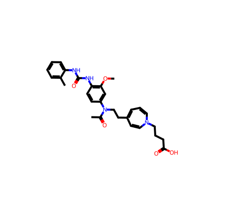 COc1cc(N(CCC2=CC=CN(CCCC(=O)O)C=C2)C(C)=O)ccc1NC(=O)Nc1ccccc1C